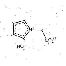 Cl.O=C(O)Cn1cccc1